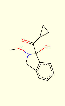 CON1Cc2ccccc2C1(O)C(=O)C1CC1